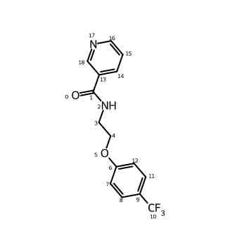 O=C(NCCOc1ccc(C(F)(F)F)cc1)c1cccnc1